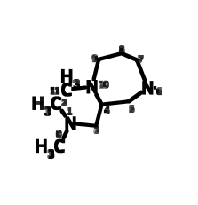 CN(C)CC1C[N]CCCN1C